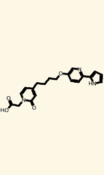 O=C(O)Cn1ccc(CCCCOc2ccc(-c3ccc[nH]3)nc2)cc1=O